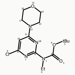 CCN(C(=O)OC(C)(C)C)c1nc(Cl)cc(N2CCOCC2)n1